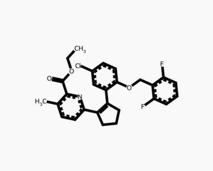 CCOC(=O)c1nc(C2=C(c3cc(Cl)ccc3OCc3c(F)cccc3F)CCC2)ccc1C